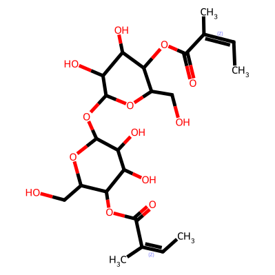 C/C=C(/C)C(=O)OC1C(CO)OC(OC2OC(CO)C(OC(=O)/C(C)=C\C)C(O)C2O)C(O)C1O